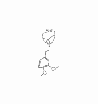 COc1ccc(CCN2CC3C[Se]CC(C2)C3=O)cc1OC